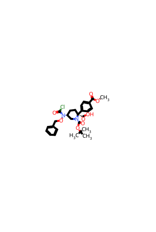 COC(=O)c1ccc([C@]2(C(=O)O)CC[C@@H](N(OCc3ccccc3)C(=O)Cl)CN2C(=O)OC(C)(C)C)cc1